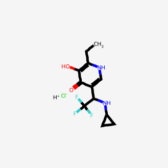 CCc1[nH]cc(C(NC2CC2)C(F)(F)F)c(=O)c1O.[Cl-].[H+]